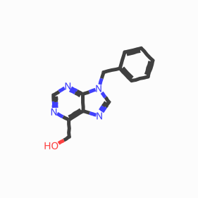 OCc1ncnc2c1ncn2Cc1ccccc1